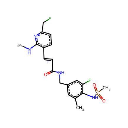 Cc1cc(CNC(=O)/C=C/c2ccc(CF)nc2NC(C)C)cc(F)c1NS(C)(=O)=O